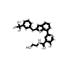 O=C(NCCO)c1cc(-c2cccc3cc(Cc4cccc(C(F)(F)F)c4)sc23)ncc1F